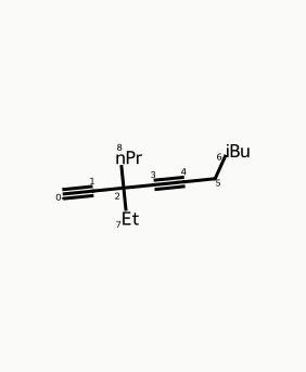 [C]#CC(C#CCC(C)CC)(CC)CCC